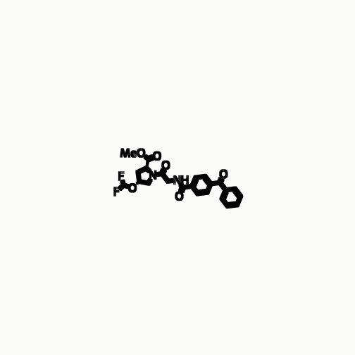 COC(=O)[C@@H]1C[C@@H](OC(F)F)CN1C(=O)CNC(=O)c1ccc(C(=O)c2ccccc2)cc1